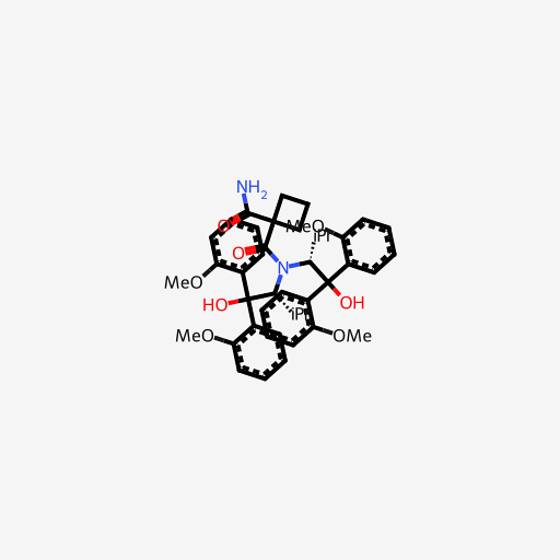 COc1ccccc1C(O)(c1ccccc1OC)[C@@H](C(C)C)N(C(=O)C1(C(N)=O)CCC1)[C@H](C(C)C)C(O)(c1ccccc1OC)c1ccccc1OC